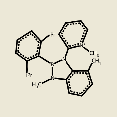 Cc1cccc2c1N(c1cccc[n+]1C)B(c1c(C(C)C)cccc1C(C)C)N2C